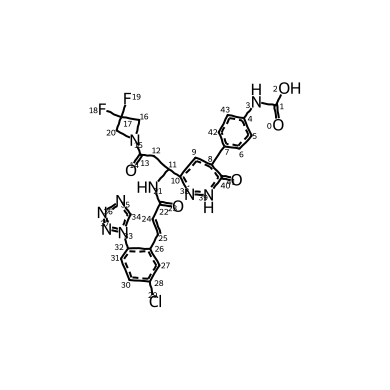 O=C(O)Nc1ccc(-c2cc(C(CC(=O)N3CC(F)(F)C3)NC(=O)C=Cc3cc(Cl)ccc3-n3cnnn3)n[nH]c2=O)cc1